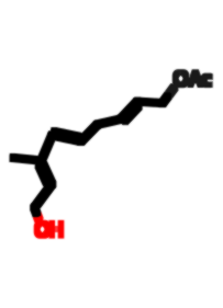 CC(=O)OCC=CCC=CC(C)=CCO